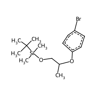 CC(CO[Si](C)(C)C(C)(C)C)Oc1ccc(Br)cc1